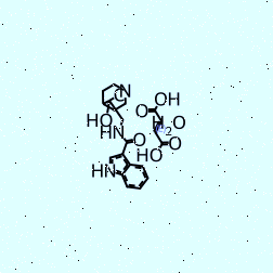 O.O=C(NCC1(O)CN2CCC1CC2)c1c[nH]c2ccccc12.O=C(O)/C=C/C(=O)O